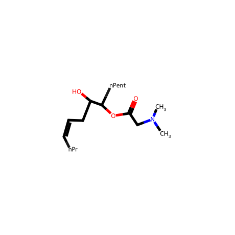 CCC/C=C\CC(O)C(CCCCC)OC(=O)CN(C)C